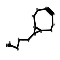 OCCCC1C2CCC#CCCC21